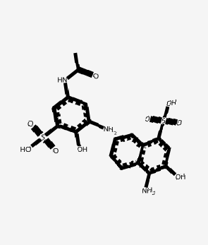 CC(=O)Nc1cc(N)c(O)c(S(=O)(=O)O)c1.Nc1c(O)cc(S(=O)(=O)O)c2ccccc12